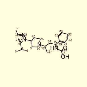 Cc1cc(C(C)C)n(C2CCN(C(C)C[C@H](NC(=O)O)c3ccccc3)CC2)n1